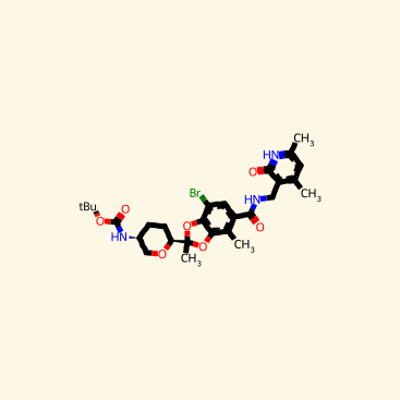 Cc1cc(C)c(CNC(=O)c2cc(Br)c3c(c2C)OC(C)([C@@H]2CC[C@@H](NC(=O)OC(C)(C)C)CO2)O3)c(=O)[nH]1